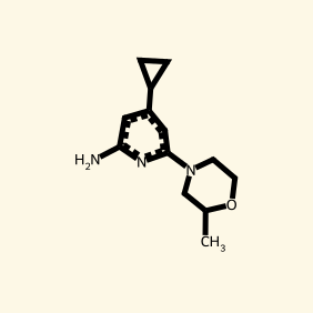 CC1CN(c2cc(C3CC3)cc(N)n2)CCO1